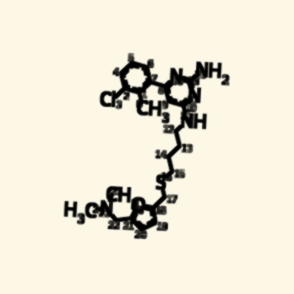 Cc1c(Cl)cccc1-c1cc(NCCCCSCc2ccc(CN(C)C)o2)nc(N)n1